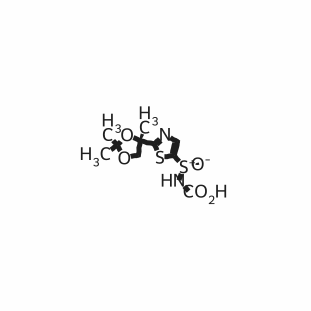 CC1(C)OC[C@@](C)(c2ncc([S@+]([O-])NC(=O)O)s2)O1